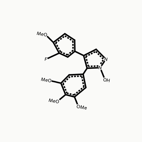 COc1ccc(-c2cnn(O)c2-c2cc(OC)c(OC)c(OC)c2)cc1F